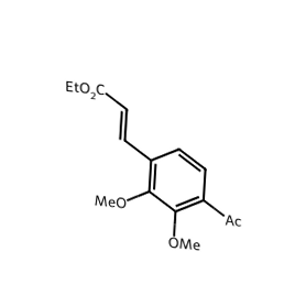 CCOC(=O)C=Cc1ccc(C(C)=O)c(OC)c1OC